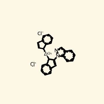 C1=C[CH]([Zr+2][CH]2C(n3ncc4ccccc43)=Cc3ccccc32)c2ccccc21.[Cl-].[Cl-]